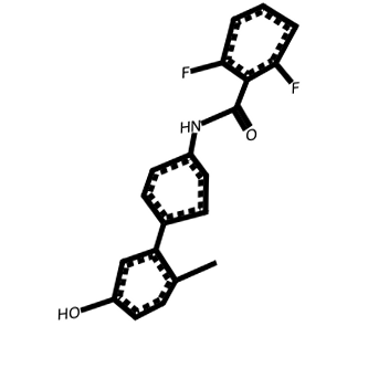 Cc1ccc(O)cc1-c1ccc(NC(=O)c2c(F)cccc2F)cc1